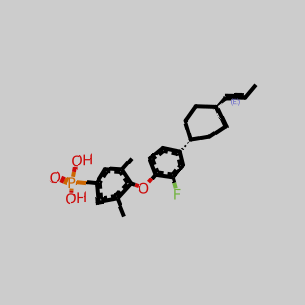 C/C=C/[C@H]1CC[C@H](c2ccc(Oc3c(C)cc(P(=O)(O)O)cc3C)c(F)c2)CC1